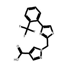 O=C(O)c1cnn(Cc2nc(-c3ccccc3C(F)(F)F)cs2)c1